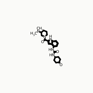 CN(C)C1CCCN(C(=O)c2cc3c(NC(=O)NC4CCC(=O)CC4)cccc3[nH]2)C1